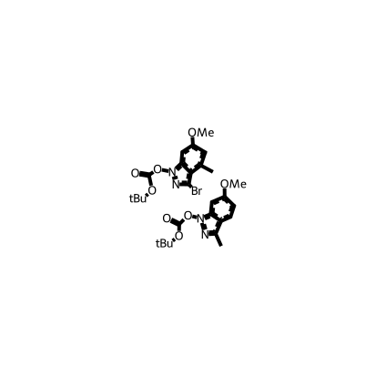 COc1cc(C)c2c(Br)nn(OC(=O)OC(C)(C)C)c2c1.COc1ccc2c(C)nn(OC(=O)OC(C)(C)C)c2c1